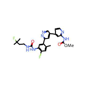 COC(=O)Nc1cc(-c2cnnc(-c3cc(NC(=O)NCCC(C)(C)F)c(F)cc3C)c2)ccn1